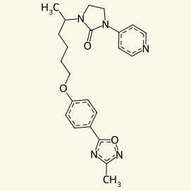 Cc1noc(-c2ccc(OCCCCC(C)N3CCN(c4ccncc4)C3=O)cc2)n1